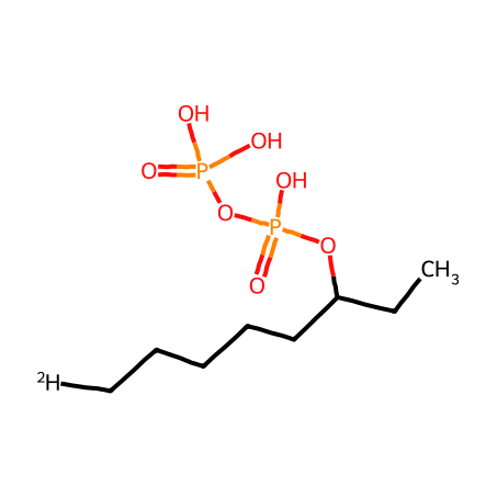 [2H]CCCCCC(CC)OP(=O)(O)OP(=O)(O)O